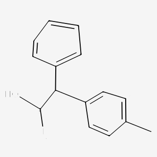 Cc1ccc(C(c2ccccc2)C(O)I)cc1